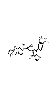 CCN(C(=O)Cn1nc(-c2ccc(C(F)(F)F)c(C(F)(F)F)c2)c2[nH]cnc2c1=O)c1ccc2c(c1)OC(F)(F)O2